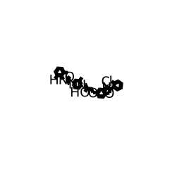 Cc1cccc(C)c1NC(=O)CN1CCN(CC(O)COc2ccc3oc(-c4ccccc4Cl)nc3c2)C(C)C1